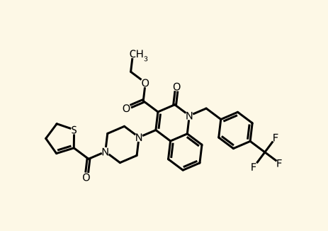 CCOC(=O)c1c(N2CCN(C(=O)C3=CCCS3)CC2)c2ccccc2n(Cc2ccc(C(F)(F)F)cc2)c1=O